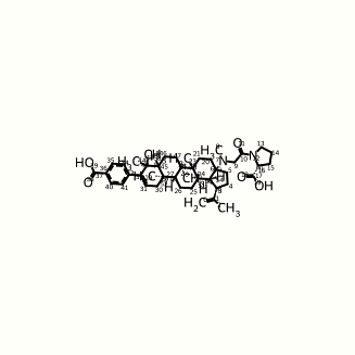 C=C(C)[C@@H]1CC[C@]2(N(C)CC(=O)N3CCC[C@@H]3C(=O)O)CC[C@]3(C)[C@H](CC[C@@H]4[C@@]5(C)CC=C(c6ccc(C(=O)O)cc6)C(C)(C)[C@@H]5CC[C@]43C)[C@@H]12